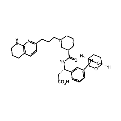 O=C(O)C[C@H](NC(=O)[C@@H]1CCCN(CCCc2ccc3c(n2)NCCC3)C1)c1cccc(N2C[C@H]3CC[C@@H]2CO3)c1